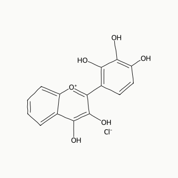 Oc1ccc(-c2[o+]c3ccccc3c(O)c2O)c(O)c1O.[Cl-]